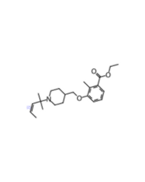 C/C=C\C(C)(C)N1CCC(COc2cccc(C(=O)OCC)c2C)CC1